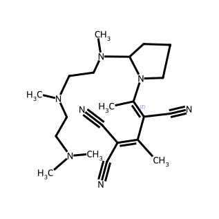 CC(=C(C#N)C#N)/C(C#N)=C(\C)N1CCCC1N(C)CCN(C)CCN(C)C